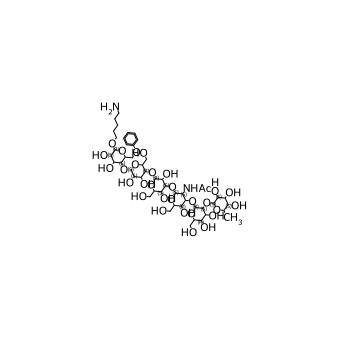 CC(=O)N[C@H]1C(O[C@@H]2OC(CO)[C@H](O)C(O)[C@@H]2O[C@@H]2OC(C)[C@@H](O)C(O)[C@@H]2O)[C@@H](O)C(CO)O[C@H]1O[C@@H]1C(O)[C@@H](O[C@H]2C(CO)O[C@@H](O[C@@H]3C(COc4ccccc4)O[C@@H](OCCCCCN)[C@@H](O)C3O)[C@@H](O)C2O)OC(CO)[C@@H]1O